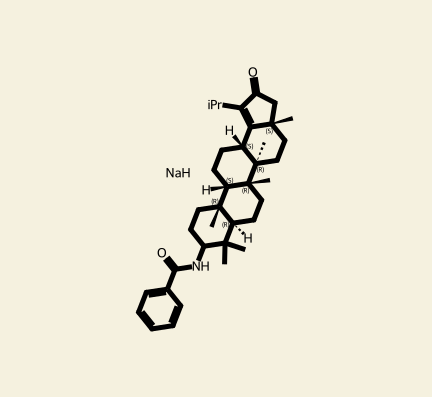 CC(C)C1=C2[C@H]3CC[C@H]4[C@@]5(C)CCC(NC(=O)c6ccccc6)C(C)(C)[C@@H]5CC[C@@]4(C)[C@]3(C)CC[C@@]2(C)CC1=O.[NaH]